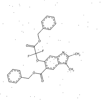 Cc1nc2cc(OC(F)(F)C(=O)OCc3ccccc3)c(C(=O)OCc3ccccc3)cc2n1C